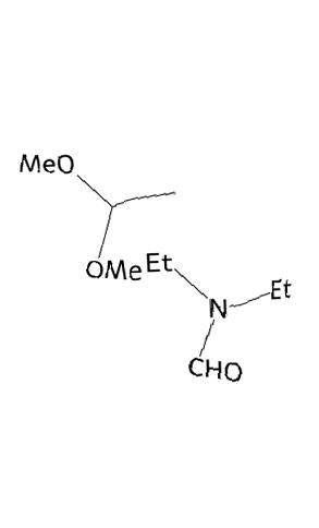 CCN(C=O)CC.COC(C)OC